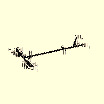 C[C@@H](O)[C@@H](O)[C@H](O)[C@@H](O)C(=O)NCCN(CCNC(=O)[C@H](O)[C@@H](O)[C@H](O)[C@@H](C)O)C(=O)CCC(=O)NCCCCCCCCCCCCCCCCCCCCCCCC(=O)NCCCCCCC(CNCCCCN)CNCCCCN